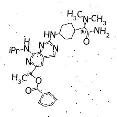 CC(C)Nc1nc([C@@H](C)OC(=O)c2ccccc2)cc2cnc(NC3CCC([C@H](C(N)=O)N(C)C)CC3)nc12